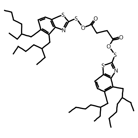 CCCCC(CC)Cc1ccc2sc(SOC(=O)CCC(=O)OSc3nc4c(CC(CC)CCCC)c(CC(CC)CCCC)ccc4s3)nc2c1CC(CC)CCCC